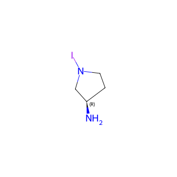 N[C@@H]1CCN(I)C1